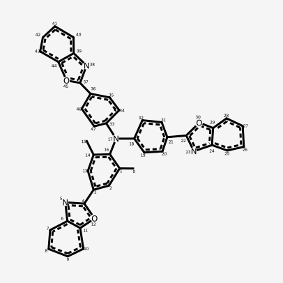 Cc1cc(-c2nc3ccccc3o2)cc(C)c1N(c1ccc(-c2nc3ccccc3o2)cc1)c1ccc(-c2nc3ccccc3o2)cc1